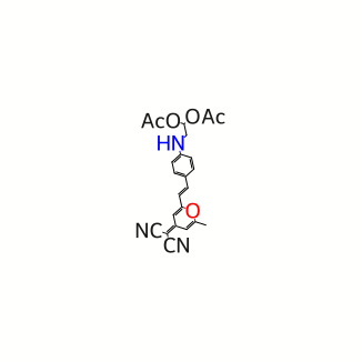 CC(=O)OC(CNc1ccc(C=CC2=CC(=C(C#N)C#N)C=C(C)O2)cc1)OC(C)=O